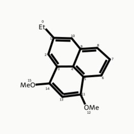 CCc1cc2c3c(cccc3c1)C(OC)=C=C2OC